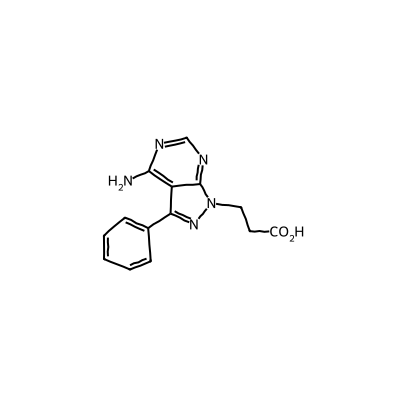 Nc1ncnc2c1c(-c1ccccc1)nn2CCC(=O)O